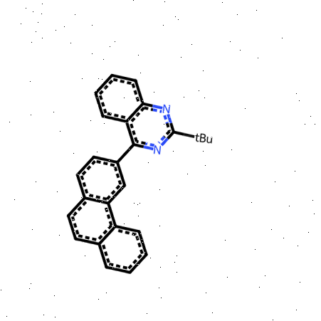 CC(C)(C)c1nc(-c2ccc3ccc4ccccc4c3c2)c2ccccc2n1